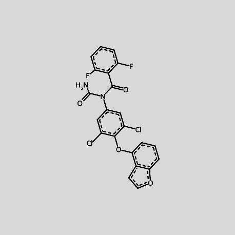 NC(=O)N(C(=O)c1c(F)cccc1F)c1cc(Cl)c(Oc2cccc3occc23)c(Cl)c1